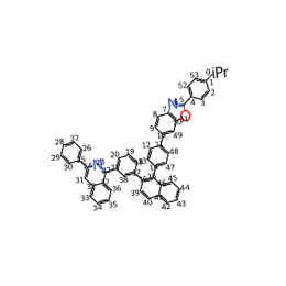 CC(C)c1ccc(-c2nc3ccc(-c4ccc(-c5c(-c6cccc(-c7nc(-c8ccccc8)cc8ccccc78)c6)ccc6ccccc56)cc4)cc3o2)cc1